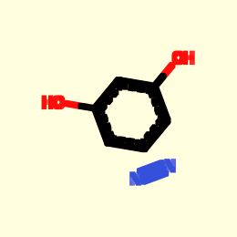 N#N.Oc1cccc(O)c1